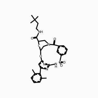 Cc1cccc(C)c1-c1cc2nc(n1)NS(=O)(=O)c1cccc(c1)C(=O)N1CC(CC(C(=O)NCCC(C)(C)C)C1)O2